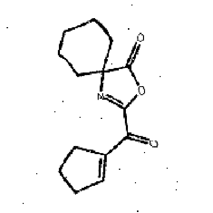 O=C(C1=CCCC1)C1=NC2(CCCCC2)C(=O)O1